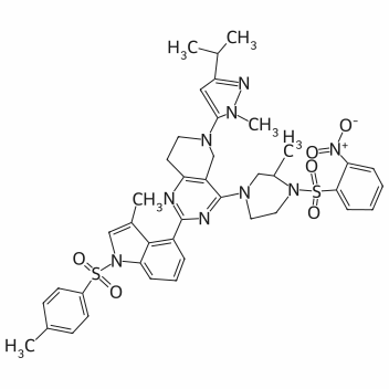 Cc1ccc(S(=O)(=O)n2cc(C)c3c(-c4nc5c(c(N6CCN(S(=O)(=O)c7ccccc7[N+](=O)[O-])C(C)C6)n4)CN(c4cc(C(C)C)nn4C)CC5)cccc32)cc1